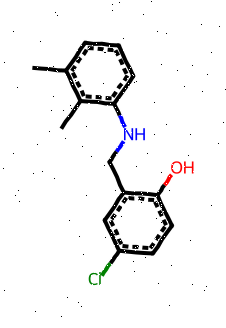 Cc1cccc(NCc2cc(Cl)ccc2O)c1C